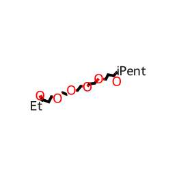 CCCC(C)C(=O)CCOCCOCCOCCOCCC(=O)CC